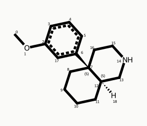 COc1cccc([C@]23CCCC[C@@H]2CNCC3)c1